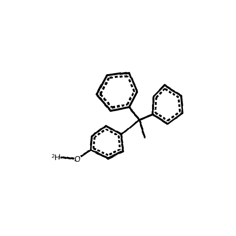 [2H]Oc1ccc(C(C)(c2ccccc2)c2ccccc2)cc1